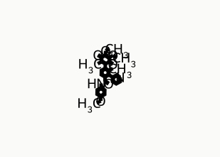 COC1=C(OC)C(=O)C(c2ccc(C(=O)Nc3ccc(OC)cc3)c(-c3cccnc3)c2C)=C(C)C1=O